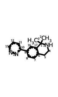 CC1(C)NCCc2ccc(-c3cccnn3)cc21